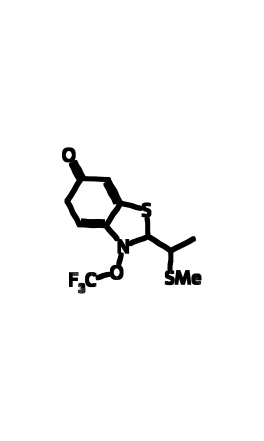 CSC(C)C1SC2=CC(=O)CC=C2N1OC(F)(F)F